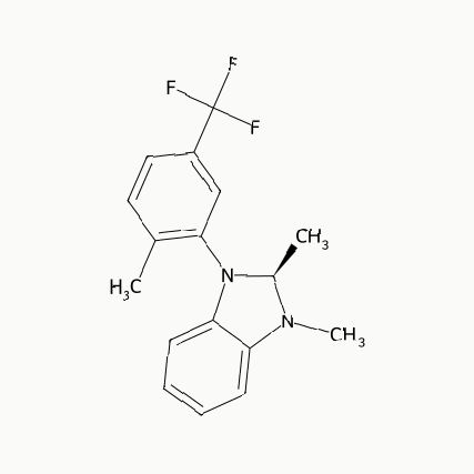 Cc1ccc(C(F)(F)F)cc1N1c2ccccc2N(C)[C@@H]1C